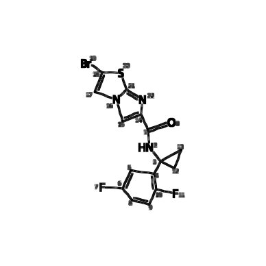 O=C(NC1(c2cc(F)ccc2F)CC1)c1cn2cc(Br)sc2n1